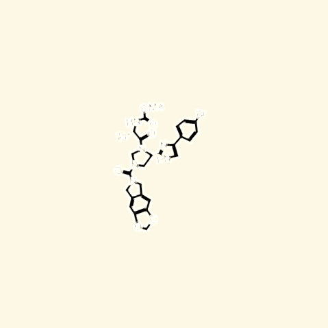 COC(=O)N[C@H](C(=O)N1CN(C(=O)N2Cc3cc4c(cc3C2)OCO4)C[C@H]1c1nc(-c2ccc(Br)cc2)c[nH]1)C(C)C